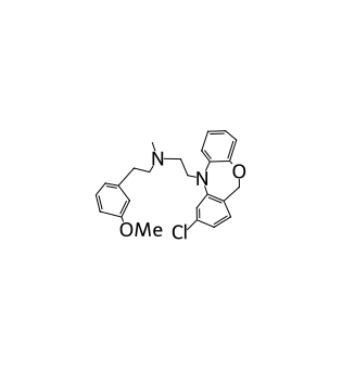 COc1cccc(CCN(C)CCN2c3cc(Cl)ccc3COc3ccccc32)c1